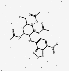 CC(=O)OC1OC(CF)[C@H](OC(C)=O)[C@@H](OC(C)=O)C1Nc1ccc([N+](=O)[O-])c2nonc12